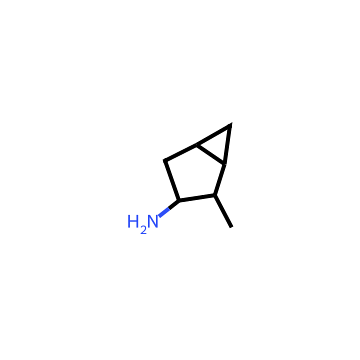 CC1C(N)CC2CC21